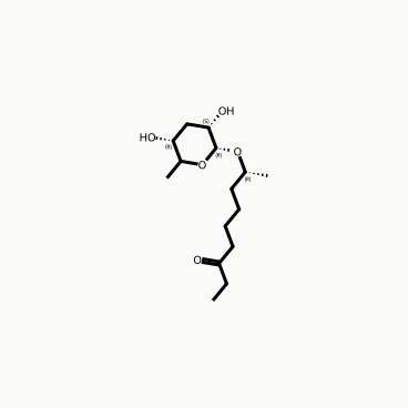 CCC(=O)CCCC[C@@H](C)O[C@@H]1OC(C)[C@H](O)C[C@@H]1O